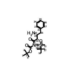 CC(C)(C)OC(=O)NC(=O)[C@@H](O[Si](C)(C)C(C)(C)C)[C@H](N)Cc1ccccc1